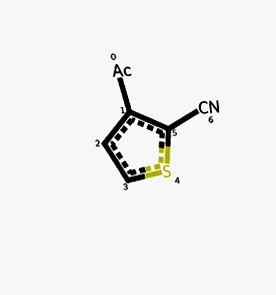 CC(=O)c1ccsc1C#N